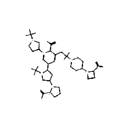 CC(C)(C)N1CCC(N2CC(C3CC(N4CCCC4C(=O)O)CN3C(C)(C)C)CC(CC(C)(C)N3CCC(N4CCC4C(=O)O)CC3)C2C(=O)O)C1